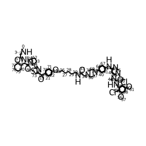 CN[C@@H](C)C(=O)N[C@H](C(=O)N1CCC[C@H]1c1nc(C(=O)c2ccc(OCCCCCCNC(=O)CN3CCN(c4ccc(Nc5cc(N(C)C(=O)Nc6c(Cl)c(OC)cc(OC)c6Cl)ncn5)cc4)CC3)cc2)cs1)C1CCCCC1